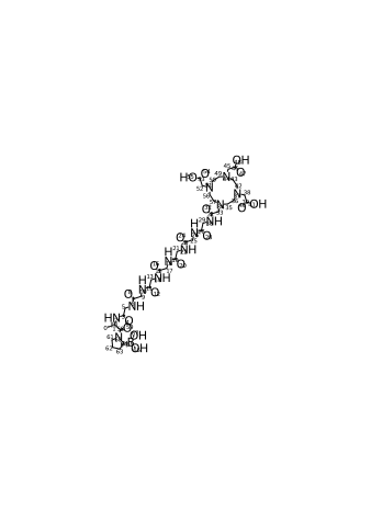 C[C@@H](NC(=O)CNC(=O)CNC(=O)CNC(=O)CNC(=O)CNC(=O)CNC(=O)CNC(=O)CN1CCN(CC(=O)O)CCN(CC(=O)O)CCN(CC(=O)O)CC1)C(=O)N1CCC[C@H]1B(O)O